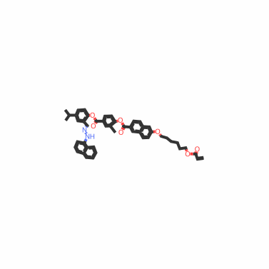 C=CC(=O)OCCCCCCOc1ccc2cc(C(=O)Oc3ccc(C(=O)Oc4ccc(C(C)C)cc4/C=N/Nc4cccc5ccccc45)cc3C)ccc2c1